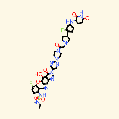 CCN(C)S(=O)(=O)Nc1ccc(F)c(Oc2ccc3ncn(-c4cnc(N5CCN(C(=O)CN6CCC(c7ccc(N[C@@H]8CCC(=O)NC8=O)cc7F)CC6)CC5)nc4)c(=O)c3c2O)c1C#N